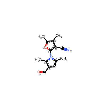 Cc1oc(-n2c(C)cc(C=O)c2C)c(C#N)c1C